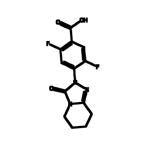 O=C(O)c1cc(F)c(-n2nc3n(c2=O)CCCC3)cc1F